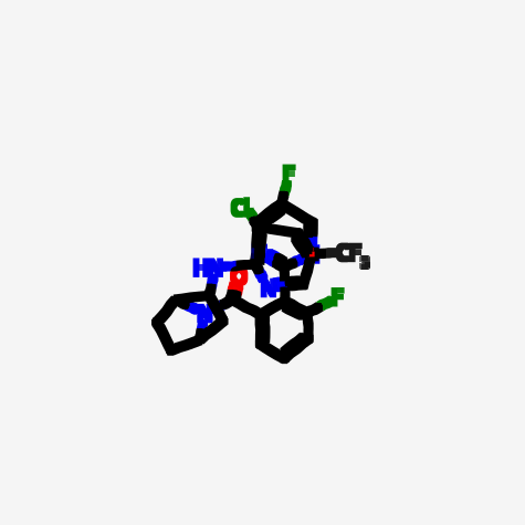 O=C(c1cccc(F)c1-c1ncc(F)cn1)N1C2CCC1C(Nc1ncc(C(F)(F)F)cc1Cl)C2